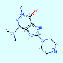 CN(C)c1nn(C)c(=O)c2[nH]c(N3CCNCC3)nc12